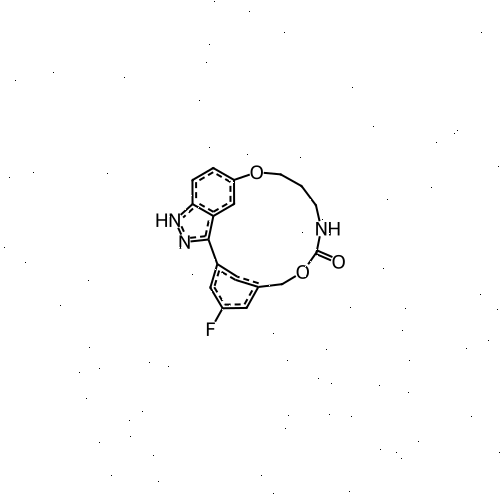 O=C1NCCCOc2ccc3[nH]nc(c3c2)-c2cc(F)cc(c2)CO1